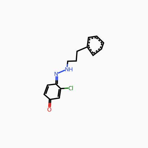 O=C1C=CC(=NNCCCc2ccccc2)C(Cl)=C1